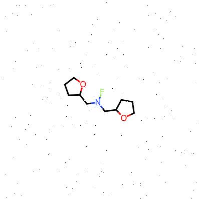 FN(CC1CCCO1)CC1CCCO1